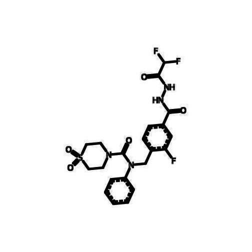 O=C(NNC(=O)C(F)F)c1ccc(CN(C(=O)N2CCS(=O)(=O)CC2)c2ccccc2)c(F)c1